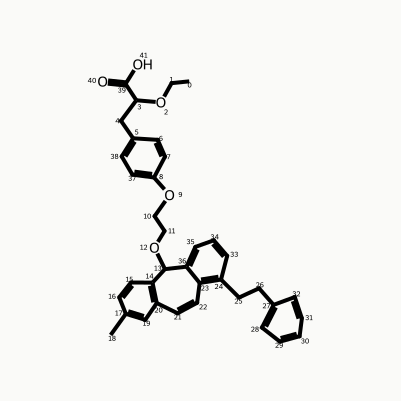 CCOC(Cc1ccc(OCCOC2c3ccc(C)cc3C=Cc3c(CCc4ccccc4)cccc32)cc1)C(=O)O